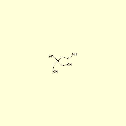 CCC[N+](CC#N)(CC#N)CC=N